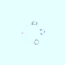 CCN1CCC(=O)NCCCOc2cccc(c2)Nc2cc(ncn2)Nc2cccc(c2)C1